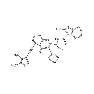 Cc1nn2cccnc2c1C(=O)N[C@@H](C)c1nc2cccc(C#Cc3cnc(C)n3C)c2c(=O)n1-c1ccccc1